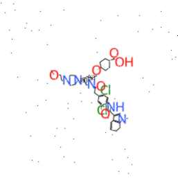 COCCN1CCN([C@H]2C[C@@H](CO[C@H]3CC[C@H](C(=O)O)CC3)N(C(=O)Cc3cc(Cl)c(NC(=O)c4cn(C)c5c4C=CCC5)cc3Cl)C2)CC1